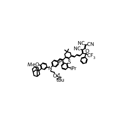 COc1ccc(N(CCO[Si](C)(C)C(C)(C)C)c2ccc(/C=C/C3=C(Sc4c(C(C)C)cccc4C(C)C)C(=C/C=C/C4=C(C#N)C(=C(C#N)C#N)OC4(c4ccccc4)C(F)(F)F)/CC(C)(C)C3)cc2)cc1C12CC3CC(CC(C3)C1)C2